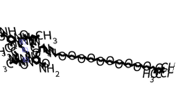 CCn1nc(C)cc1C(=O)/N=c1\[nH]c2cc(C(N)=O)cc(OC)c2n1C/C=C/Cn1/c(=N/C(=O)c2cc(C)nn2CC)[nH]c2cc(C(N)=O)cc(OCCCN3CCN(CCOCCOCCOCCOCCOCCOCCOCCOCCOCCOCCC(=O)OC(C)(C)C)CC3)c21